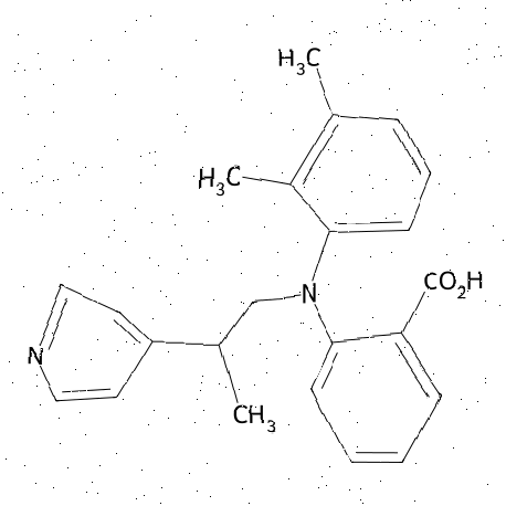 Cc1cccc(N(CC(C)c2ccncc2)c2ccccc2C(=O)O)c1C